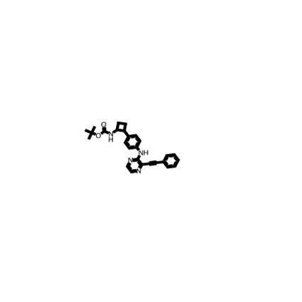 CC(C)(C)OC(=O)NC1CCC1c1ccc(Nc2nccnc2C#Cc2ccccc2)cc1